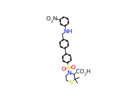 CC1(C)SCCN(S(=O)(=O)c2ccc(-c3ccc(CNc4cccc([N+](=O)[O-])c4)cc3)cc2)C1C(=O)O